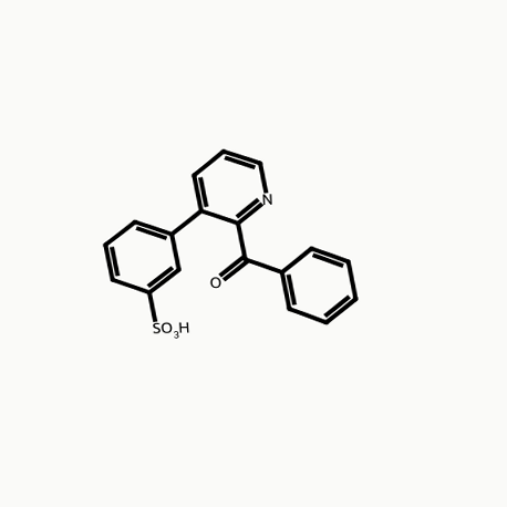 O=C(c1ccccc1)c1ncccc1-c1cccc(S(=O)(=O)O)c1